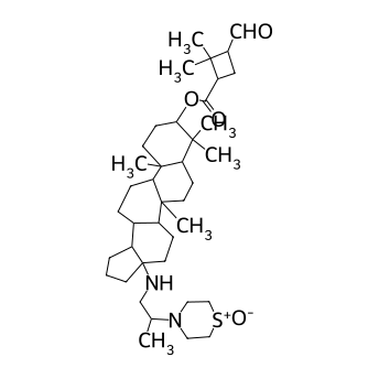 CC(CNC12CCCC1C1CCC3C(C)(CCC4C(C)(C)C(OC(=O)C5CC(C=O)C5(C)C)CCC43C)C1CC2)N1CC[S+]([O-])CC1